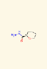 NNC(=O)[C@H]1CCCCO1